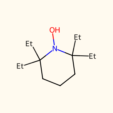 CCC1(CC)CCCC(CC)(CC)N1O